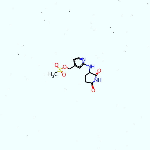 CS(=O)(=O)OCc1ccnc(NC2CCC(=O)NC2=O)c1